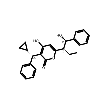 CC[C@H](c1cc(O)c([C@H](c2ccccc2)C2CC2)c(=O)o1)[C@@H](O)c1ccccc1